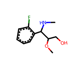 CNC(c1ccccc1F)C(CO)OC